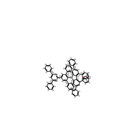 c1ccc(-c2cc(-c3ccccc3)c3c4c(-c5ccccc5)cc(-c5ccccc5)cc4n(-c4c(-c5ccccc5)cc(-c5nc(-c6ccccc6)cc(-c6ccccc6)n5)cc4-c4ccccc4)c3c2)cc1